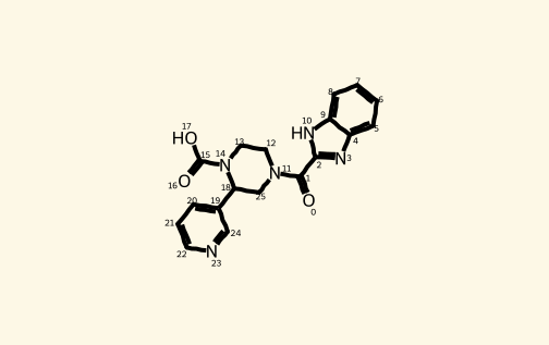 O=C(c1nc2ccccc2[nH]1)N1CCN(C(=O)O)C(c2cccnc2)C1